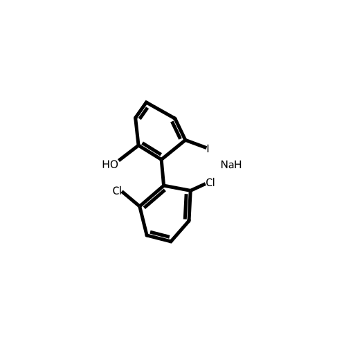 Oc1cccc(I)c1-c1c(Cl)cccc1Cl.[NaH]